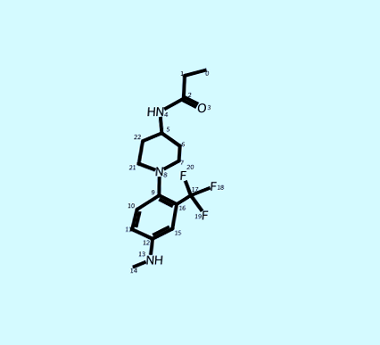 CCC(=O)NC1CCN(c2ccc(NC)cc2C(F)(F)F)CC1